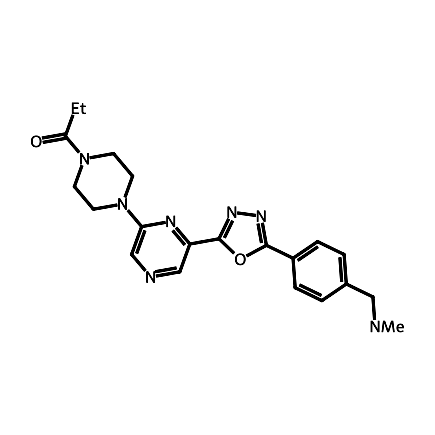 CCC(=O)N1CCN(c2cncc(-c3nnc(-c4ccc(CNC)cc4)o3)n2)CC1